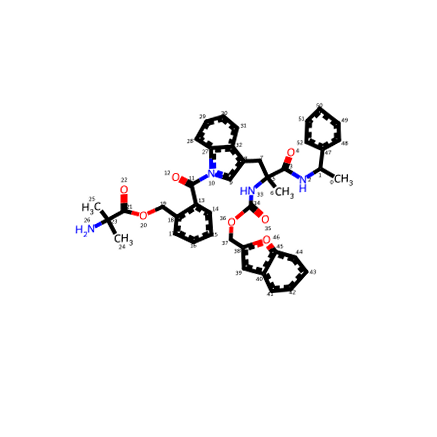 CC(NC(=O)C(C)(Cc1cn(C(=O)c2ccccc2COC(=O)C(C)(C)N)c2ccccc12)NC(=O)OCc1cc2ccccc2o1)c1ccccc1